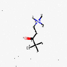 CCC(C)(C)C(=O)CC[N+](C)(C)C